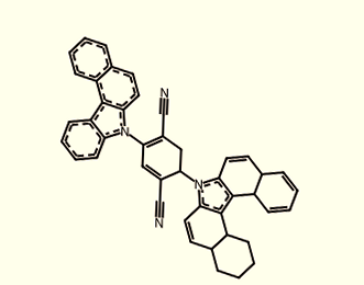 N#CC1=CC(n2c3ccccc3c3c4ccccc4ccc32)=C(C#N)CC1n1c2c(c3c1C=CC1CCCCC31)C1C=CC=CC1C=C2